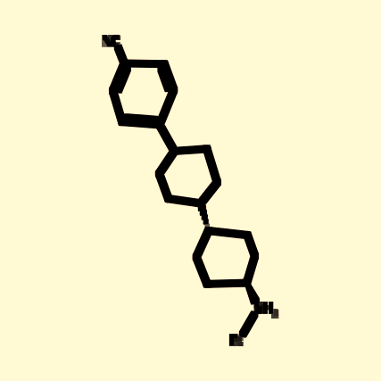 CC[SiH2][C@H]1CC[C@H](C2CCC(c3ccc(C#N)cc3)CC2)CC1